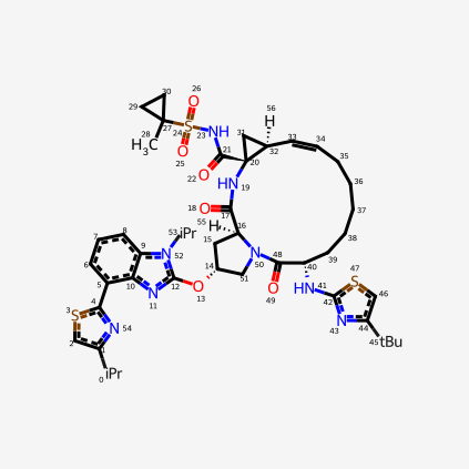 CC(C)c1csc(-c2cccc3c2nc(O[C@@H]2C[C@H]4C(=O)N[C@]5(C(=O)NS(=O)(=O)C6(C)CC6)C[C@H]5/C=C\CCCCC[C@H](Nc5nc(C(C)(C)C)cs5)C(=O)N4C2)n3C(C)C)n1